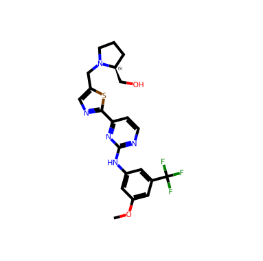 COc1cc(Nc2nccc(-c3ncc(CN4CCC[C@H]4CO)s3)n2)cc(C(F)(F)F)c1